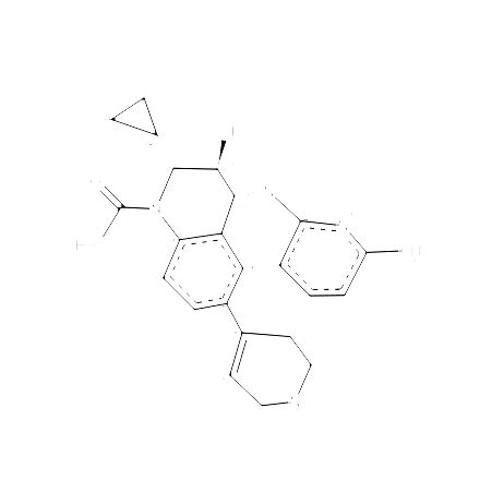 CC(=O)N1c2ccc(C3=CCNCC3)cc2[C@@H](Nc2cccc(C)n2)[C@H](C)[C@H]1C1CC1